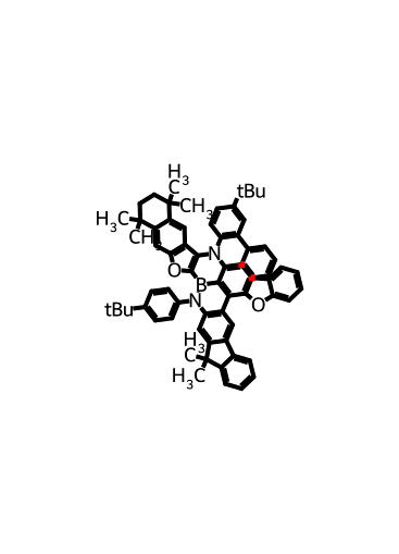 CC(C)(C)c1ccc(N2B3c4oc5cc6c(cc5c4N(c4ccc(C(C)(C)C)cc4-c4ccccc4)c4cc5c(oc7ccccc75)c(c43)-c3cc4c(cc32)C(C)(C)c2ccccc2-4)C(C)(C)CCC6(C)C)cc1